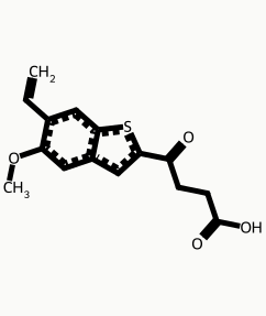 C=Cc1cc2sc(C(=O)CCC(=O)O)cc2cc1OC